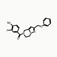 N#Cc1ccc(C(=O)N2CCn3nc(COc4ccccc4)cc3C2)cc1F